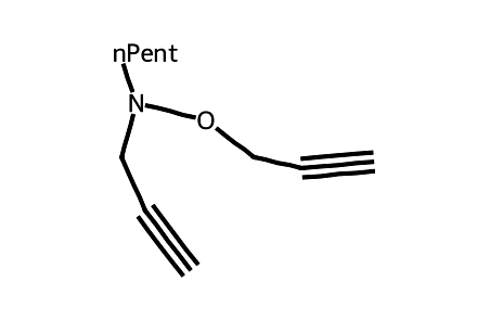 C#CCON(CC#C)CCCCC